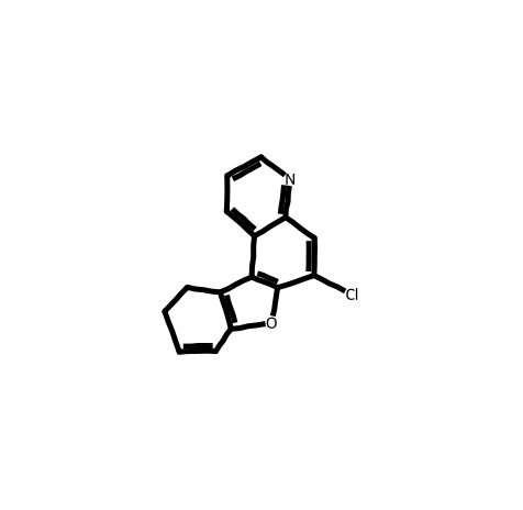 Clc1cc2ncccc2c2c3c(oc12)C=CCC3